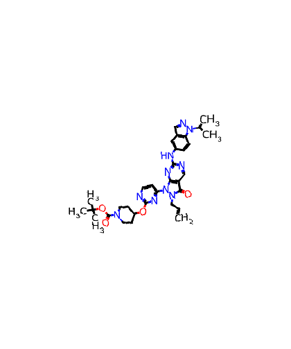 C=CCn1c(=O)c2cnc(Nc3ccc4c(cnn4C(C)C)c3)nc2n1-c1ccnc(OC2CCN(C(=O)OC(C)(C)C)CC2)n1